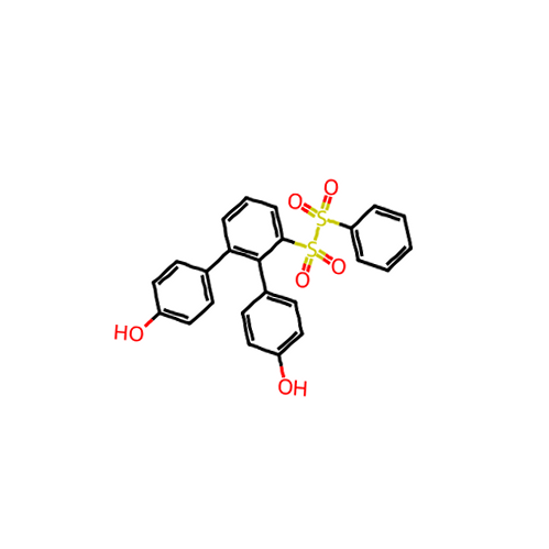 O=S(=O)(c1ccccc1)S(=O)(=O)c1cccc(-c2ccc(O)cc2)c1-c1ccc(O)cc1